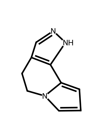 c1cc2n(c1)CCc1cn[nH]c1-2